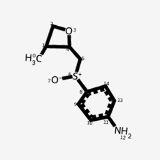 CC1COC1C[S+]([O-])c1ccc(N)cc1